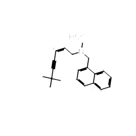 CN(C/C=C\C#CC(C)(C)C)Cc1cccc2ccccc12.Cl